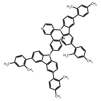 Cc1ccc(-c2ccc3c(c2)c2cc(-c4ccc(C)cc4C)ccc2n3-c2ccc(C#N)c(-c3cnccc3-n3c4ccc(-c5ccc(C)cc5C)cc4c4cc(-c5ccc(C)cc5C)ccc43)c2)c(C)c1